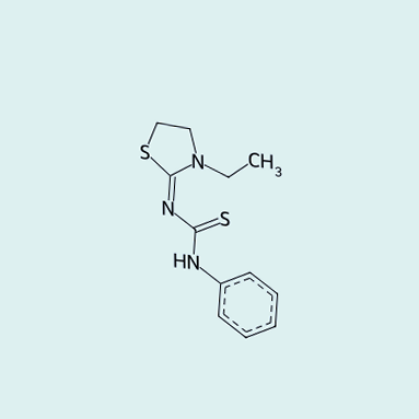 CCN1CCSC1=NC(=S)Nc1ccccc1